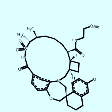 COCCNC(=O)[C@@H]1CCC[C@H](C)[C@@H](C)S(=O)(=O)NC(=O)c2ccc3c(c2)N(C[C@@H]2CC[C@H]21)C[C@@]1(CCCc2cc(Cl)ccc21)CO3